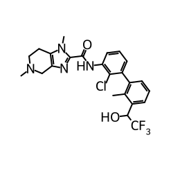 Cc1c(-c2cccc(NC(=O)c3nc4c(n3C)CCN(C)C4)c2Cl)cccc1C(O)C(F)(F)F